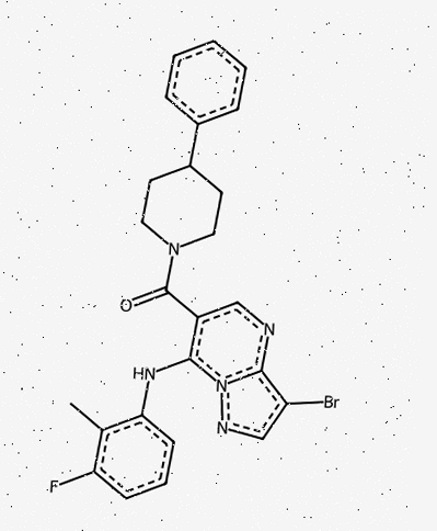 Cc1c(F)cccc1Nc1c(C(=O)N2CCC(c3ccccc3)CC2)cnc2c(Br)cnn12